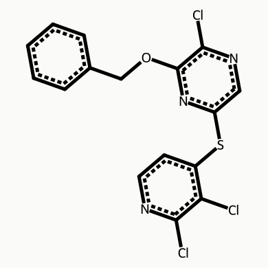 Clc1ncc(Sc2ccnc(Cl)c2Cl)nc1OCc1ccccc1